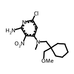 COCC1(CN(C)c2cc(Cl)nc(N)c2[N+](=O)[O-])CCCCC1